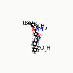 CC(NC(=O)c1ccc2c(c1)OCCN2Cc1ccc(-c2ccccc2C(=O)O)cc1)c1ccc(C(C)(C)C)cc1